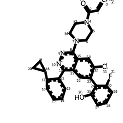 C=CC(=O)N1CCN(c2nnc(-c3ccccc3C3CC3)c3cc(-c4c(O)cccc4F)c(Cl)cc23)CC1